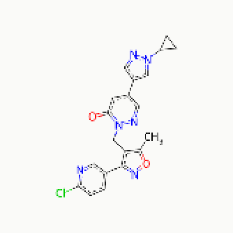 Cc1onc(-c2ccc(Cl)nc2)c1Cn1ncc(-c2cnn(C3CC3)c2)cc1=O